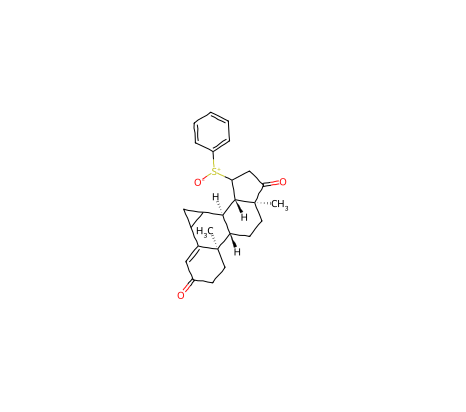 C[C@]12CCC(=O)C=C1C1CC1[C@@H]1[C@@H]2CC[C@]2(C)C(=O)CC([S+]([O-])c3ccccc3)[C@@H]12